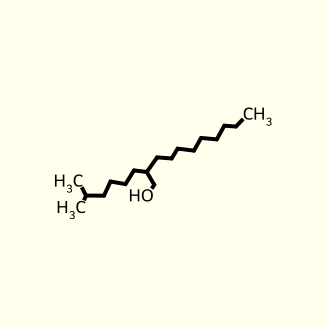 CCCCCCCCCC(CO)CCCCC(C)C